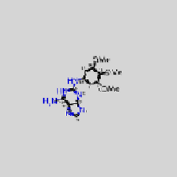 COc1cc(Nc2nc3ncnc-3c(N)[nH]2)cc(OC)c1OC